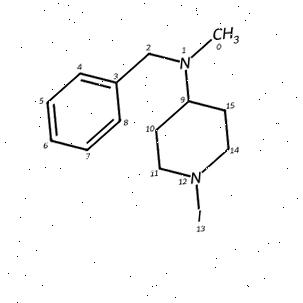 CN(Cc1ccccc1)C1CCN(I)CC1